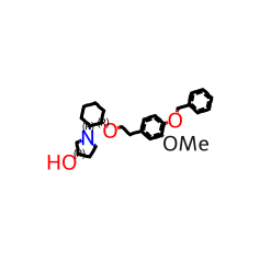 COc1cc(CCO[C@@H]2CCCC[C@H]2N2CC[C@@H](O)C2)ccc1OCc1ccccc1